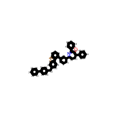 C1=CC(c2cccc3sc4cc(Cc5ccc(-c6ccccc6)cc5)ccc4c23)=CC(C2=CCC(c3ccccc3)=c3oc4ccccc4c3=N2)C1